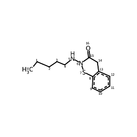 CCCCCNN1Sc2ccccc2CC1=O